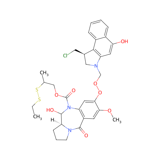 CCSSC(C)COC(=O)N1c2cc(OOCN3C[C@@H](CCl)c4c3cc(O)c3ccccc43)c(OC)cc2C(=O)N2CCC[C@H]2C1O